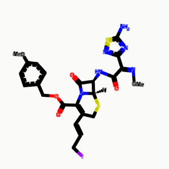 CO/N=C(\C(=O)N[C@@H]1C(=O)N2C(C(=O)OCc3ccc(OC)cc3)=C(/C=C/CI)CS[C@H]12)c1nsc(N)n1